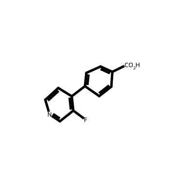 O=C(O)c1ccc(-c2ccncc2F)cc1